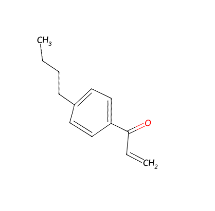 C=CC(=O)c1ccc(CCCC)cc1